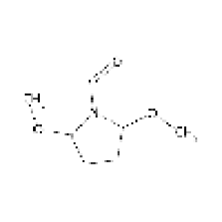 COC1CCC(OC)N1C=O